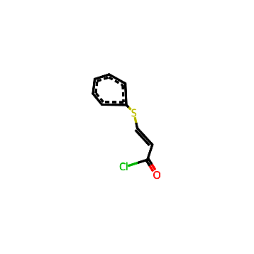 O=C(Cl)C=CSc1ccccc1